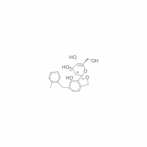 Cc1ccccc1Cc1ccc2c(c1)[C@]1(OC2)O[C@H](CO)[C@@H](O)[C@H](O)[C@H]1O